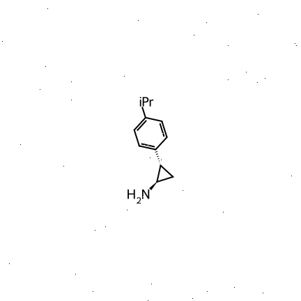 CC(C)c1ccc([C@@H]2C[C@H]2N)cc1